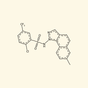 Cc1ccc2c(ccc3cnn(NS(=O)(=O)c4cc(C(F)(F)F)ccc4Cl)c32)c1